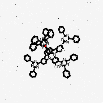 N#Cc1cc(-n2c3ccc(-c4nc(-c5ccccc5)nc(-c5ccccc5)n4)cc3c3cc(-c4nc(-c5ccccc5)nc(-c5ccccc5)n4)ccc32)c(-n2c3ccc(-c4nc(-c5ccccc5)nc(-c5ccccc5)n4)cc3c3cc(-c4nc(-c5ccccc5)nc(-c5ccccc5)n4)ccc32)cc1-c1nc(-c2ccccc2)nc(-c2ccccc2)n1